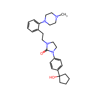 CN1CCN(c2ccccc2CCN2CCN(c3ccc(C4(O)CCCC4)cc3)C2=O)CC1